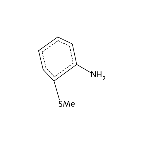 CSc1ccccc1N